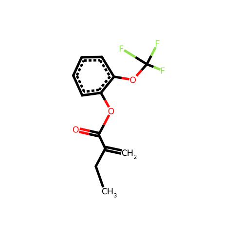 C=C(CC)C(=O)Oc1ccccc1OC(F)(F)F